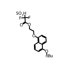 CCCCOc1cccc2c(OCCOC(=O)C(F)(F)S(=O)(=O)O)cccc12